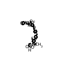 Cn1nc(-n2ccc(=O)[nH]c2=O)c2cc(F)c(N3CCC(CN4CCC(COc5cc(F)c6c(=O)[nH]c(CSC7CCOCC7)nc6c5)CC4)CC3)cc21